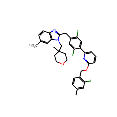 Cc1ccc(COc2cccc(-c3cc(F)c(Cc4nc5ccc(C(=O)O)cc5n4CC4(C)CCOCC4)cc3F)n2)c(F)c1